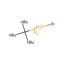 CCCCC(P)(CCCC)CCCC.PBr